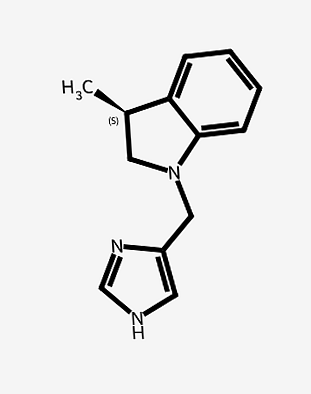 C[C@@H]1CN(Cc2c[nH]cn2)c2ccccc21